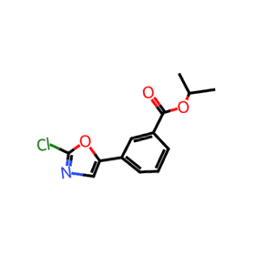 CC(C)OC(=O)c1cccc(-c2cnc(Cl)o2)c1